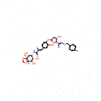 CC/C(=N\OCc1ccc(F)cc1)[C@H]1O[C@@H](Oc2ccc(/C=C(\C)C(=O)N[C@@H]3[C@H](O)[C@@H](O)[C@H]4OCO[C@H]4[C@@H]3O)cc2O)C[C@@H]1O